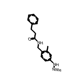 CNNc1ccc(CNC(=O)CCc2ccccc2)c(C)c1